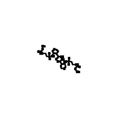 CC(C)(C)OC(=O)NCCS(=O)(=O)Nc1cnccc1C1=NN=C(c2ccncc2NS(=O)(=O)CCNC(=O)OC(C)(C)C)NN1